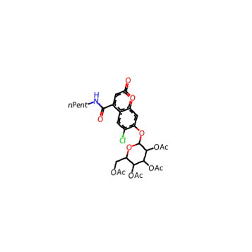 CCCCCNC(=O)c1cc(=O)oc2cc(OC3OC(COC(C)=O)C(OC(C)=O)C(OC(C)=O)C3OC(C)=O)c(Cl)cc12